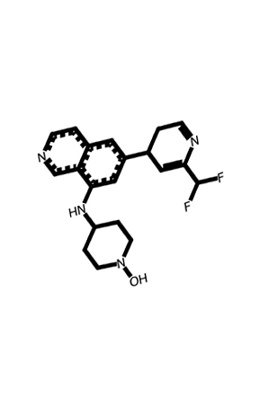 ON1CCC(Nc2cc(C3C=C(C(F)F)N=CC3)cc3ccncc23)CC1